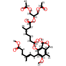 COC(=O)CC/C(C)=C/Cc1c(OC)c(C)c2c(c1OC(=O)CCCC(C)CC(=O)OC(COC(C)=O)COC(C)=O)C(=O)OC2